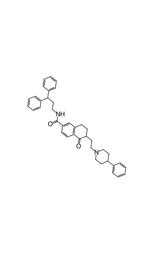 O=C(NCCC(c1ccccc1)c1ccccc1)c1ccc2c(c1)CCC(CCN1CCC(c3ccccc3)CC1)C2=O